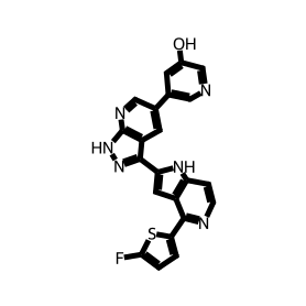 Oc1cncc(-c2cnc3[nH]nc(-c4cc5c(-c6ccc(F)s6)nccc5[nH]4)c3c2)c1